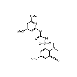 COc1cc(OC)nc(NC(=O)NS(=O)(=O)C2=CC(C=O)=CC(=C=O)C2N(C)C)n1